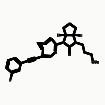 COCCCN1C(=O)N(C2=N/C=C(C#Cc3cccc(F)c3)\C=C\C=C\2)[C@@H]2CCC[C@@H]21